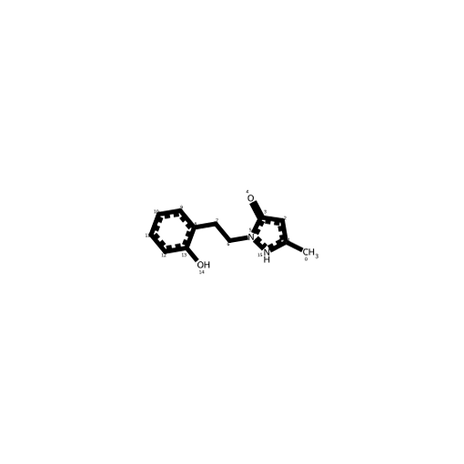 Cc1cc(=O)n(CCc2ccccc2O)[nH]1